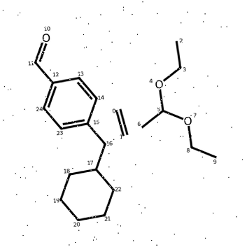 C=C.CCOC(C)OCC.O=Cc1ccc(CC2CCCCC2)cc1